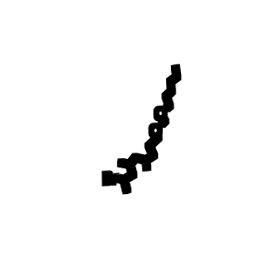 CCCCCCOCOCCCC(C)CC(C)CC(C)Br